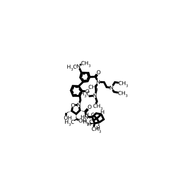 CCN(CC)CCN(CCN(CC)CC)C(=O)c1cc(-c2cccc(CN3O[C@@H](CO)[C@@H]([C@H](C)O)[C@H]3C(=O)NC3C[C@H]4C[C@@H]([C@@H]3C)C4(C)C)c2OC)cc(N(C)C)c1